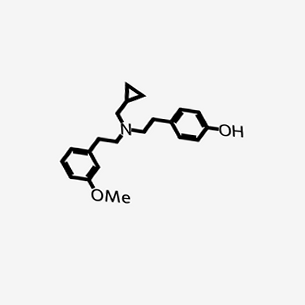 COc1cccc(CCN(CCc2ccc(O)cc2)CC2CC2)c1